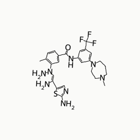 Cc1ccc(C(=O)Nc2cc(N3CCCN(C)CC3)cc(C(F)(F)F)c2)cc1N(N)/C=C(\N)c1cnc(N)s1